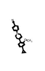 COc1cc(C2CC2)ccc1C1=CCN(c2ccc(C#N)cc2)CC1